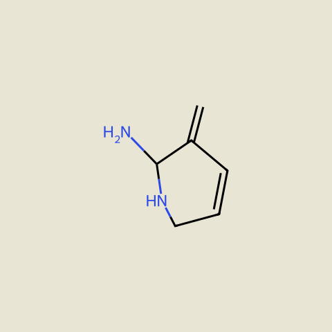 C=C1C=CCNC1N